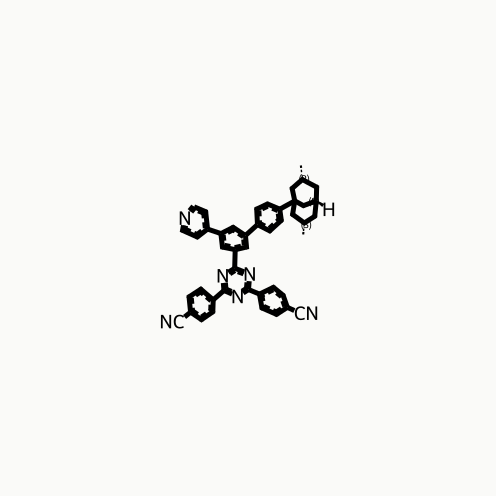 C[C@@H]1C[C@@H]2C[C@H](C)CC(c3ccc(-c4cc(-c5ccncc5)cc(-c5nc(-c6ccc(C#N)cc6)nc(-c6ccc(C#N)cc6)n5)c4)cc3)(C1)C2